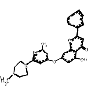 Cc1nc(Oc2cc(O)c3c(=O)cc(-c4ccccc4)oc3c2)cc(N2CCN(C)CC2)n1